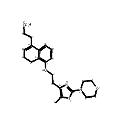 Cc1sc(N2CCOCC2)nc1CCOc1cccc2c1CCC=C2CCC(=O)O